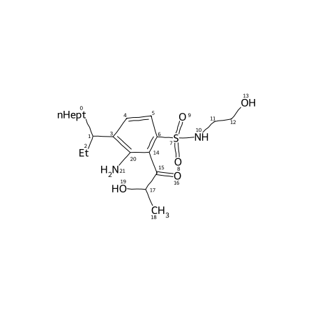 CCCCCCCC(CC)c1ccc(S(=O)(=O)NCCO)c(C(=O)C(C)O)c1N